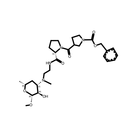 CO[C@@H]1O[C@H](C)C[C@H](N(C)CCNC(=O)[C@@H]2CCCN2C(=O)C2CCN(C(=O)OCc3ccccc3)C2)[C@H]1O